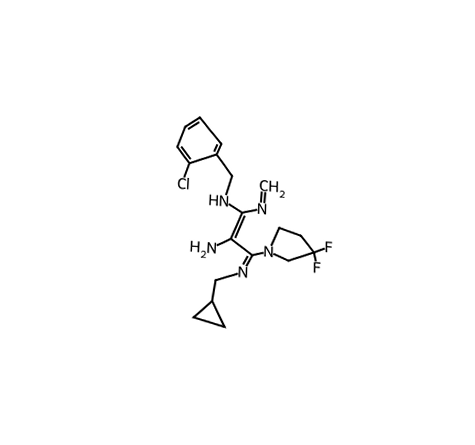 C=N/C(NCc1ccccc1Cl)=C(N)\C(=N/CC1CC1)N1CCC(F)(F)C1